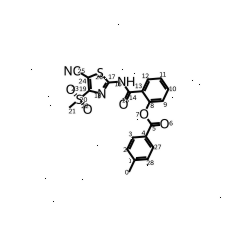 Cc1ccc(C(=O)Oc2ccccc2C(=O)Nc2nc(S(C)(=O)=O)c(C#N)s2)cc1